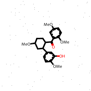 COc1ccc(OC)c(C(=O)C2CCC(OC)CC2c2ccc(OC)c(O)c2)c1